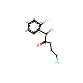 O=C(CCCCl)C(Br)c1ccccc1F